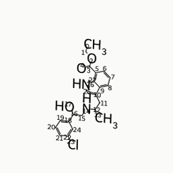 CCOC(=O)c1cccc2c(C[C@@H](C)NC[C@H](O)c3cccc(Cl)c3)c[nH]c12